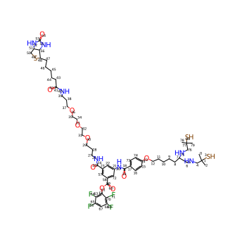 CC(C)(S)CNCC(CCCCCOc1ccc(C(=O)Nc2cc(C(=O)NCCCOCCOCCOCCCNC(=O)CCCCCC3SCC4NC(=O)NC43)cc(C(=O)Oc3c(F)c(F)cc(F)c3F)c2)cc1)NCC(C)(C)S